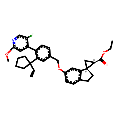 C=CC1(c2cc(COc3ccc4c(c3)[C@]3(CC4)C[C@H]3C(=O)OCC)ccc2-c2cc(OC)ncc2F)CCCC1